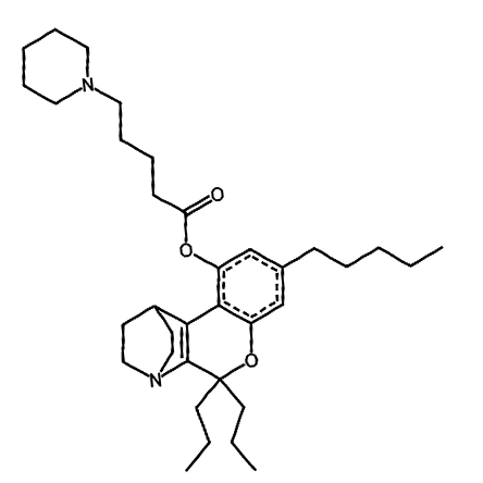 CCCCCc1cc(OC(=O)CCCCN2CCCCC2)c2c(c1)OC(CCC)(CCC)C1=C2C2CCN1CC2